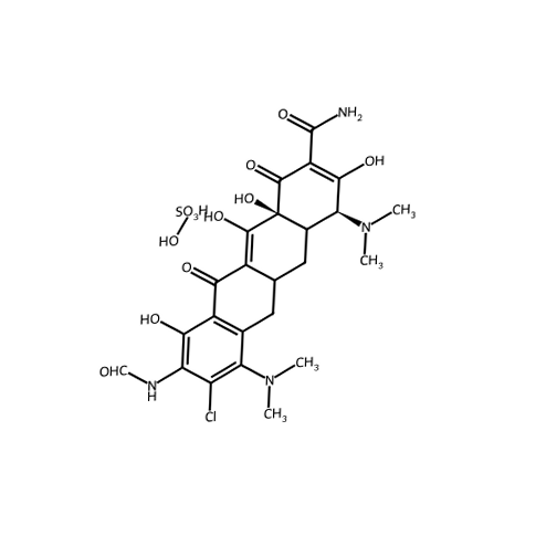 CN(C)c1c(Cl)c(NC=O)c(O)c2c1CC1CC3[C@H](N(C)C)C(O)=C(C(N)=O)C(=O)[C@@]3(O)C(O)=C1C2=O.O=S(=O)(O)O